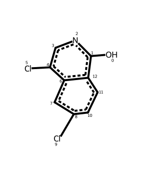 Oc1ncc(Cl)c2cc(Cl)ccc12